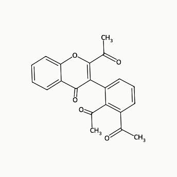 CC(=O)c1cccc(-c2c(C(C)=O)oc3ccccc3c2=O)c1C(C)=O